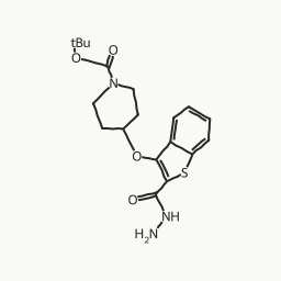 CC(C)(C)OC(=O)N1CCC(Oc2c(C(=O)NN)sc3ccccc23)CC1